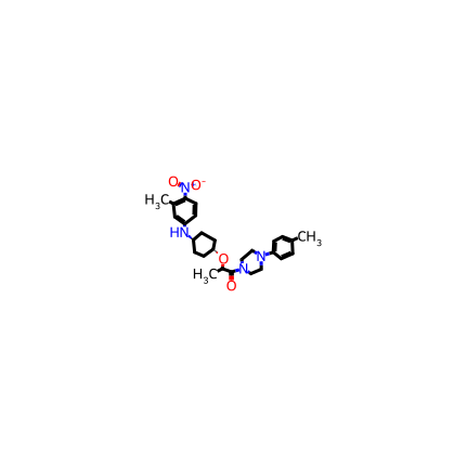 Cc1ccc(N2CCN(C(=O)C(C)O[C@H]3CC[C@H](Nc4ccc([N+](=O)[O-])c(C)c4)CC3)CC2)cc1